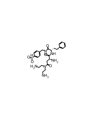 NCCN(CCN)C(=O)C[C@H](N)C(=O)N[C@@H](CCc1ccccc1)C(=O)NCc1ccc([SH](=O)=O)cc1